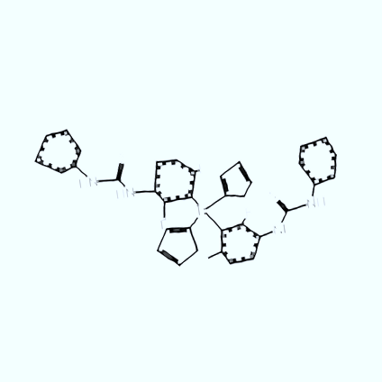 Fc1ccc(NC(=S)Nc2ccccc2)c(F)[c]1[Ti]([C]1=CC=CC1)([C]1=CC=CC1)[c]1c(F)ccc(NC(=S)Nc2ccccc2)c1F